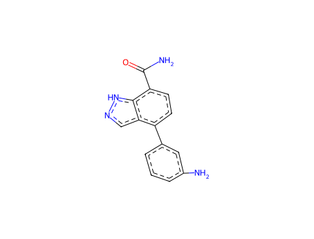 NC(=O)c1ccc(-c2cccc(N)c2)c2cn[nH]c12